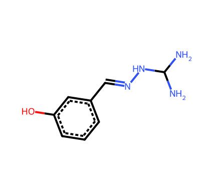 NC(N)N/N=C/c1cccc(O)c1